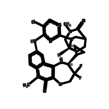 CN1C[C@H]2CCC(CN2c2ncc(Cl)c(Nc3ccc4c(c3)c3c(c(=O)n4C)OCC(F)(F)[C@H](C4CC4)N3)n2)C1=O